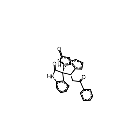 O=C(C[C@H](c1cccs1)[C@@]1(n2ccc(=O)[nH]2)C(=O)Nc2ccccc21)c1ccccc1